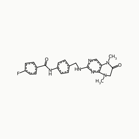 CN1CC(=O)N(C)c2cnc(NCc3ccc(NC(=O)c4ccc(F)cc4)cc3)nc21